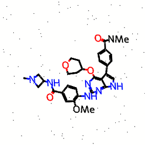 CNC(=O)c1ccc(-c2c[nH]c3nc(Nc4ccc(C(=O)NC5CN(C)C5)cc4OC)nc(OC4CCOCC4)c23)cc1